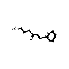 CCCCCCCCCCCC(=O)C=Cc1ccccc1